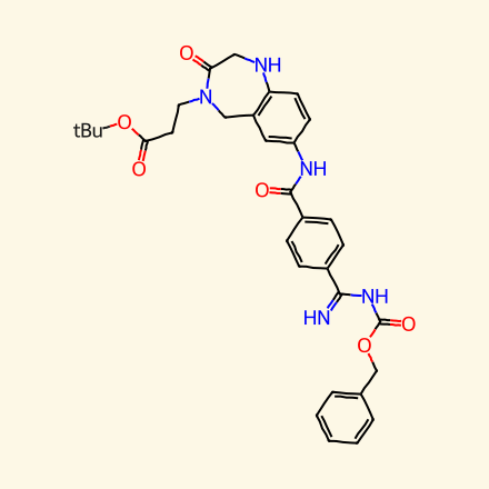 CC(C)(C)OC(=O)CCN1Cc2cc(NC(=O)c3ccc(C(=N)NC(=O)OCc4ccccc4)cc3)ccc2NCC1=O